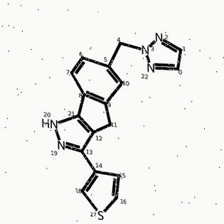 c1cnn(Cc2ccc3c(c2)Cc2c(-c4ccsc4)n[nH]c2-3)n1